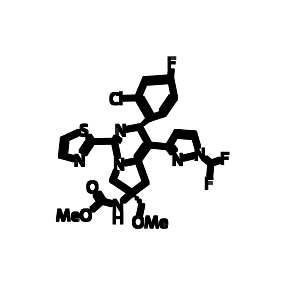 COC[C@@]1(NC(=O)OC)CC2=C(c3ccn(C(F)F)n3)[C@H](c3ccc(F)cc3Cl)N=C(c3nccs3)N2C1